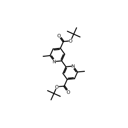 Cc1cc(C(=O)OC(C)(C)C)cc(-c2cc(C(=O)OC(C)(C)C)cc(C)n2)n1